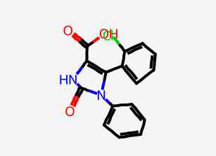 O=C(O)c1[nH]c(=O)n(-c2ccccc2)c1-c1ccccc1Cl